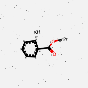 CCCOC(=O)c1ccccc1.[KH]